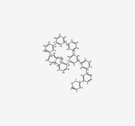 C1=NCCC(c2cccc(-c3cccc(-c4cc(-c5cccc(-c6cccc(-c7ccncc7)c6)c5)cc(-c5cccc6c5oc5ccccc56)c4)c3)c2)=C1